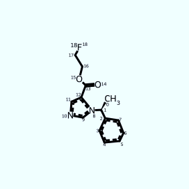 C[C@@H](c1ccccc1)n1cncc1C(=O)OCC[18F]